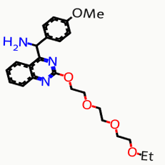 CCOCCOCCOCCOc1nc(C(N)c2ccc(OC)cc2)c2ccccc2n1